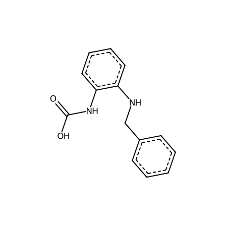 O=C(O)Nc1ccccc1NCc1ccccc1